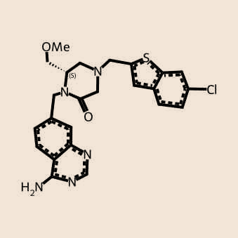 COC[C@@H]1CN(Cc2cc3ccc(Cl)cc3s2)CC(=O)N1Cc1ccc2c(N)ncnc2c1